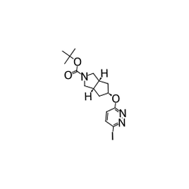 CC(C)(C)OC(=O)N1C[C@H]2C[C@H](Oc3ccc(I)nn3)C[C@H]2C1